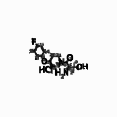 CC(C)(O)[C@H](N)C(=O)N1CCC(Oc2ccc(F)cc2)CC1.Cl